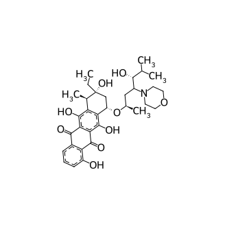 CC[C@@]1(O)C[C@H](O[C@H](C)CC([C@H](O)C(C)C)N2CCOCC2)c2c(O)c3c(c(O)c2[C@H]1C)C(=O)c1cccc(O)c1C3=O